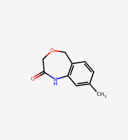 Cc1ccc2c(c1)NC(=O)COC2